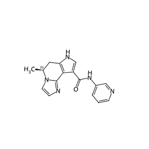 C[C@H]1Cc2[nH]cc(C(=O)Nc3cccnc3)c2-c2nccn21